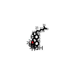 [2H]C([2H])([2H])C1(C([2H])([2H])[2H])[C@@H](O)CC[C@]2(C)C3=C(CC[C@@H]12)[C@@H]1CC[C@H]([C@H](C)CCC=C(C)C)[C@@]1(C)CC3